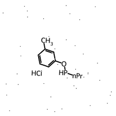 CCCPOc1cccc(C)c1.Cl